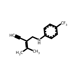 C#CC(CNc1ccc(C(F)(F)F)cc1)=C(C)C